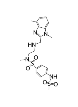 Cc1cccc2c1nc(CNCCN(C)S(=O)(=O)c1ccc(NS(C)(=O)=O)cc1)n2C